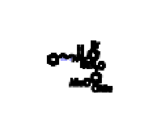 COc1ccc(C(=O)Nc2ccc(Br)cc2C(=O)N/N=C/C=C/c2ccccc2)cc1OC